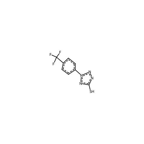 FC(F)(F)c1ccc(-n2nnc(S)n2)cc1